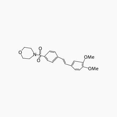 COc1ccc(C=Cc2ccc(S(=O)(=O)N3CCOCC3)cc2)cc1OC